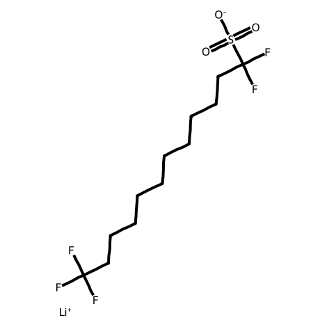 O=S(=O)([O-])C(F)(F)CCCCCCCCCCC(F)(F)F.[Li+]